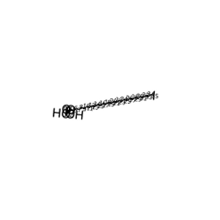 O=P(O)(O)OCCCCCCCCCCCCCCCCCCCCCCCCCCCCCCI